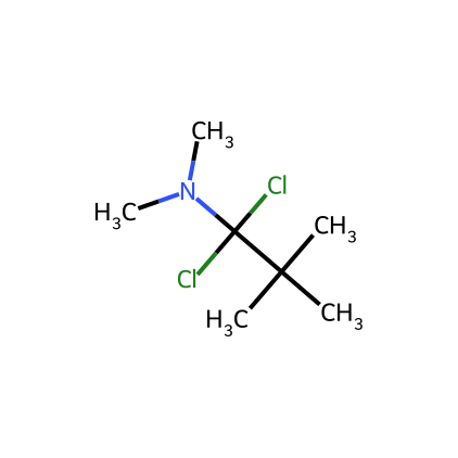 CN(C)C(Cl)(Cl)C(C)(C)C